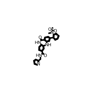 CN(c1ccccc1-c1ccc2c(c1)Nc1cc(C(=O)NCc3ccccn3)ccc1NC2=O)S(C)(=O)=O